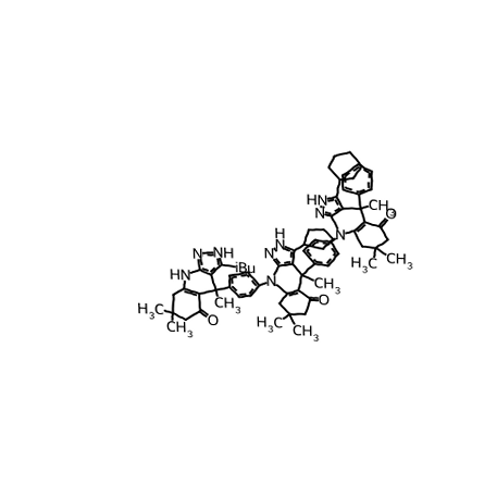 CCC(C)c1[nH]nc2c1C(C)(c1ccc(N3C4=C(C(=O)CC(C)(C)C4)C(C)(c4ccc(N5C6=C(C(=O)CC(C)(C)C6)C(C)(c6ccccc6)c6c5n[nH]c6C5CCCCC5)cc4)c4c3n[nH]c4C3CCCC3)cc1)C1=C(CC(C)(C)CC1=O)N2